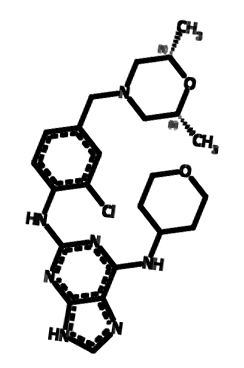 C[C@@H]1CN(Cc2ccc(Nc3nc(NC4CCOCC4)c4nc[nH]c4n3)c(Cl)c2)C[C@H](C)O1